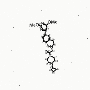 COc1cc(-c2ccc3c(c2)CCN(CC(=O)N2CCN(C4CCC4)CC2)C3)nc(OC)n1